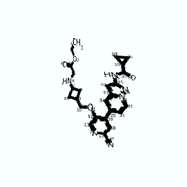 CCOC(=O)CNC1CC(COc2cnc(C#N)cc2-c2ccn3nc(NC(=O)C4CC4)cc3c2)C1